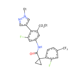 CCOC(=O)c1cc(NC(=O)C2(c3ccc(C(F)(F)F)cc3F)CC2)cc(F)c1-c1cnn(CC)c1